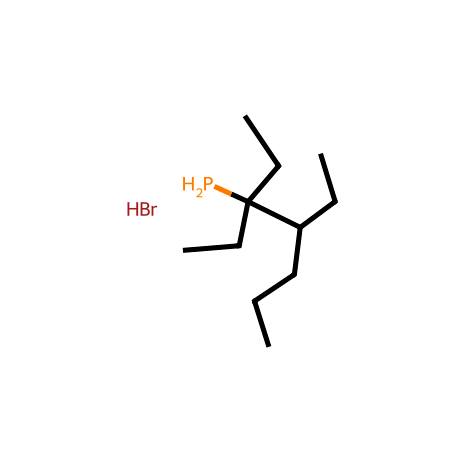 Br.CCCC(CC)C(P)(CC)CC